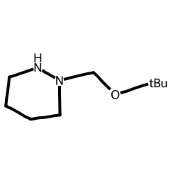 CC(C)(C)OCN1CCCCN1